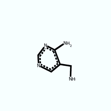 [NH]Cc1cncnc1N